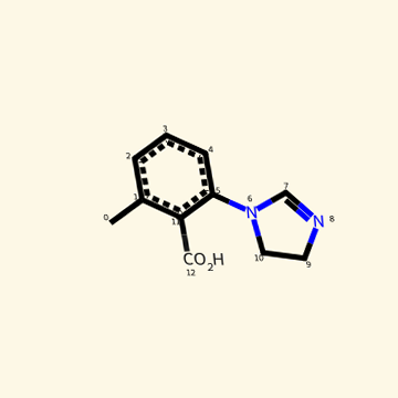 Cc1cccc(N2C=NCC2)c1C(=O)O